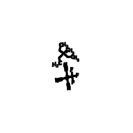 CC[N+](C)(CC)CC.N#C[B-](C#N)(C#N)C(F)(F)F